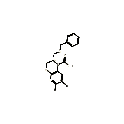 Cc1nc2c(cc1Br)N(C(=O)O)[C@@H](COCc1ccccc1)CO2